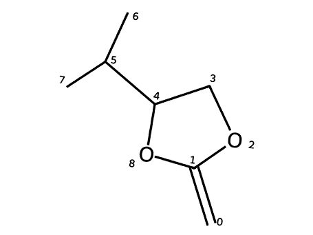 C=C1OCC(C(C)C)O1